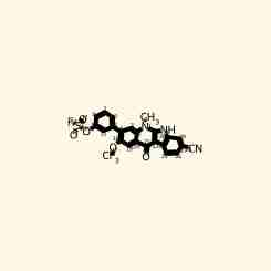 Cn1c2cc(-c3cccc(OS(=O)(=O)F)c3)c(OC(F)(F)F)cc2c(=O)c2c3ccc(C#N)cc3[nH]c21